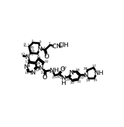 C[C@@H]1CCN(C(=O)CC#N)C[C@@H]1N(C)c1ncnc2c1ccn2C(=O)NCC(=O)Nc1ccc(N2CCNCC2)cn1.Cl